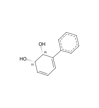 O[C@@H]1C(c2ccccc2)=CC=C[C@@H]1O